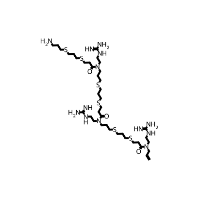 C=CCN(CCNC(=N)N)C(=O)CCSCCCSCCCN(CCNC(=N)N)C(=O)CCSCCCSCCCN(CCNC(=N)N)C(=O)CCSCCCSCCCN